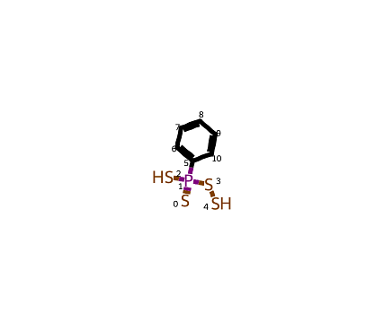 S=P(S)(SS)c1ccccc1